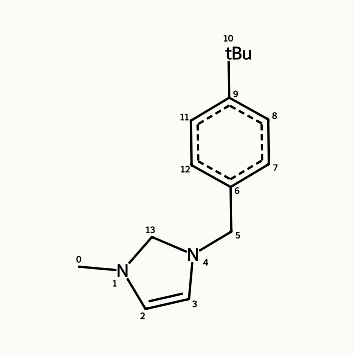 CN1C=CN(Cc2ccc(C(C)(C)C)cc2)C1